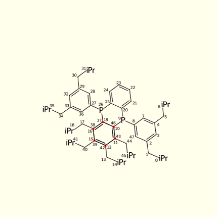 CC(C)Cc1cc(CC(C)C)cc(P(c2cc(CC(C)C)cc(CC(C)C)c2)c2ccccc2P(c2cc(CC(C)C)cc(CC(C)C)c2)c2cc(CC(C)C)cc(CC(C)C)c2)c1